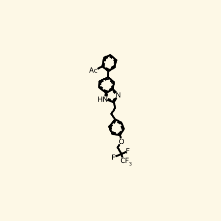 CC(=O)c1ccccc1-c1ccc2[nH]c(CCc3ccc(OCC(F)(F)C(F)(F)F)cc3)nc2c1